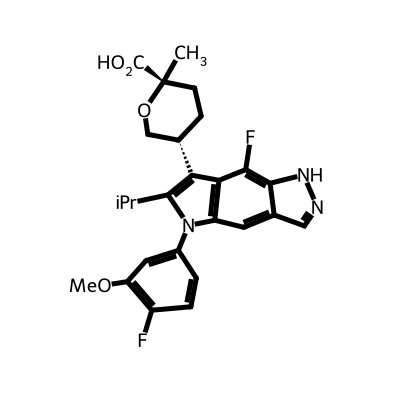 COc1cc(-n2c(C(C)C)c([C@H]3CC[C@](C)(C(=O)O)OC3)c3c(F)c4[nH]ncc4cc32)ccc1F